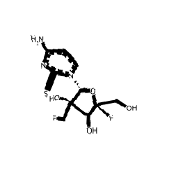 Nc1ccn([C@@H]2O[C@](F)(CO)C(O)[C@]2(O)CF)c(=S)n1